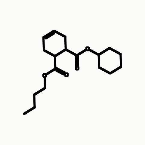 CCCCOC(=O)C1CC=CCC1C(=O)OC1CCCCC1